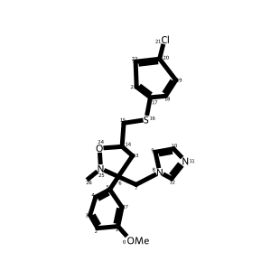 COc1cccc(C2(Cn3ccnc3)CC(CSc3ccc(Cl)cc3)ON2C)c1